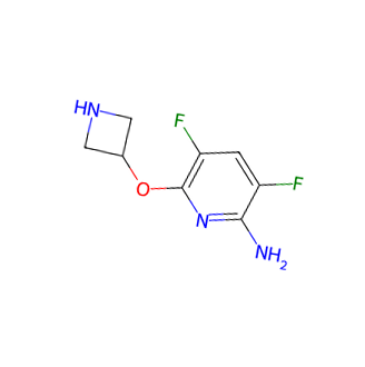 Nc1nc(OC2CNC2)c(F)cc1F